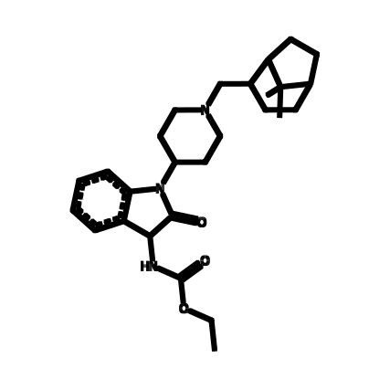 CCOC(=O)NC1C(=O)N(C2CCN(CC3CCC4CCC3C4(C)C)CC2)c2ccccc21